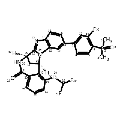 CP(C)(=O)c1ccc(-c2ccc3nc4n(c3c2)[C@@H]2C[C@H]4NC(=O)c3cccc(OC(F)F)c32)cc1F